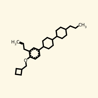 C=CCc1cc(C2CCC(C3CCC(CCC)CC3)CC2)ccc1OCC1CCC1